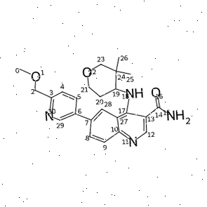 COCc1ccc(-c2ccc3ncc(C(N)=O)c(NC4CCOCC4(C)C)c3c2)cn1